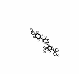 COC(=O)c1cc(-c2nc(-c3ccc(OC)cc3)cs2)c(SC)s1